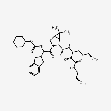 C=CCCC(NC(=O)C1C2C(CN1C(=O)C(NC(=O)OC1CCCCC1)C1Cc3ccccc3C1)C2(C)C)C(=O)C(=O)NCC=C